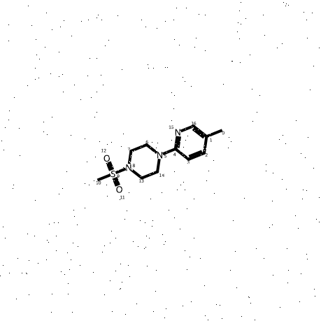 Cc1ccc(N2CCN(S(C)(=O)=O)CC2)nc1